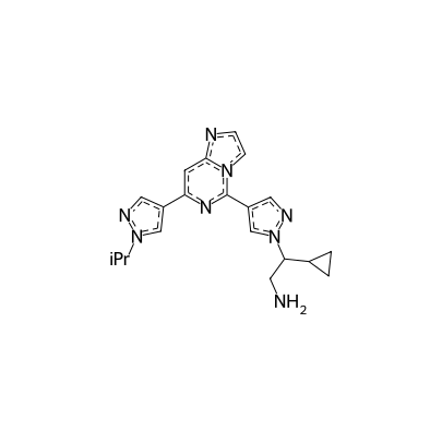 CC(C)n1cc(-c2cc3nccn3c(-c3cnn(C(CN)C4CC4)c3)n2)cn1